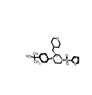 CC(C)(O)c1ccc(N2CCN(S(=O)(=O)c3cccs3)C[C@@H]2CC2CCOCC2)cc1